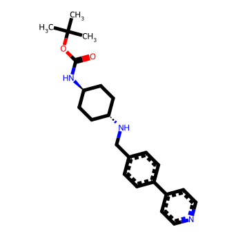 CC(C)(C)OC(=O)N[C@H]1CC[C@H](NCc2ccc(-c3ccncc3)cc2)CC1